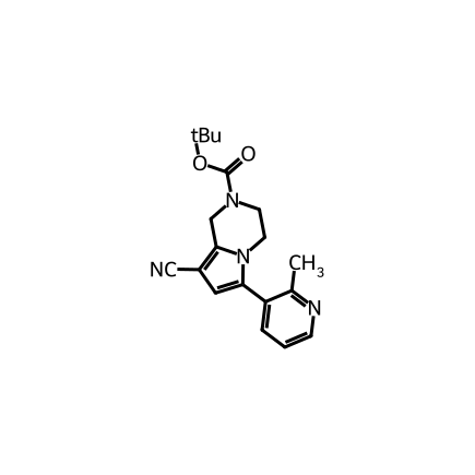 Cc1ncccc1-c1cc(C#N)c2n1CCN(C(=O)OC(C)(C)C)C2